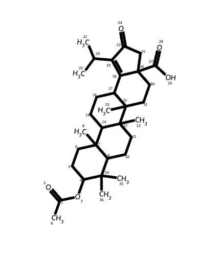 CC(=O)OC1CCC2(C)C(CCC3(C)C2CCC2C4=C(C(C)C)C(=O)CC4(C(=O)O)CCC23C)C1(C)C